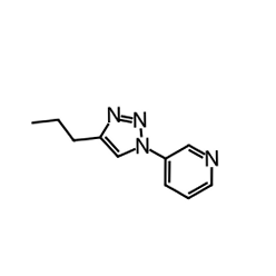 CCCc1cn(-c2cccnc2)nn1